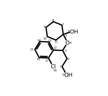 OCCC(OC1(O)CCCCC1)c1ccccc1Cl